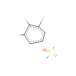 Fc1cccc(F)c1F.NS(N)(=O)=O